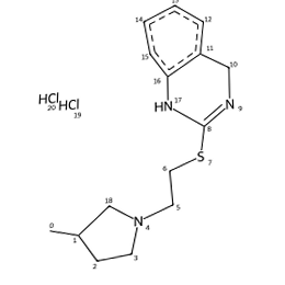 CC1CCN(CCSC2=NCc3ccccc3N2)C1.Cl.Cl